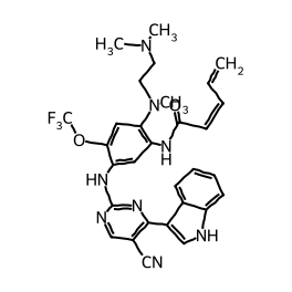 C=C/C=C\C(=O)Nc1cc(Nc2ncc(C#N)c(-c3c[nH]c4ccccc34)n2)c(OC(F)(F)F)cc1N(C)CCN(C)C